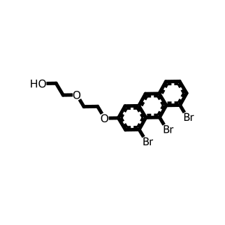 OCCOCCOc1cc(Br)c2c(Br)c3c(Br)cccc3cc2c1